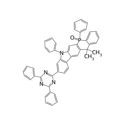 CC1(C)c2ccccc2P(=O)(c2ccccc2)c2cc3c(cc21)c1ccc(-c2nc(-c4ccccc4)nc(-c4ccccc4)n2)cc1n3-c1ccccc1